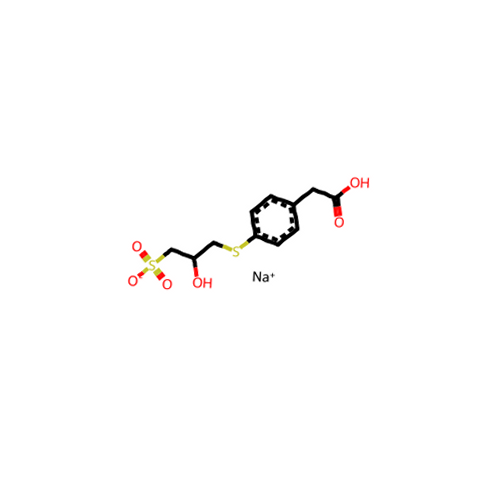 O=C(O)Cc1ccc(SCC(O)CS(=O)(=O)[O-])cc1.[Na+]